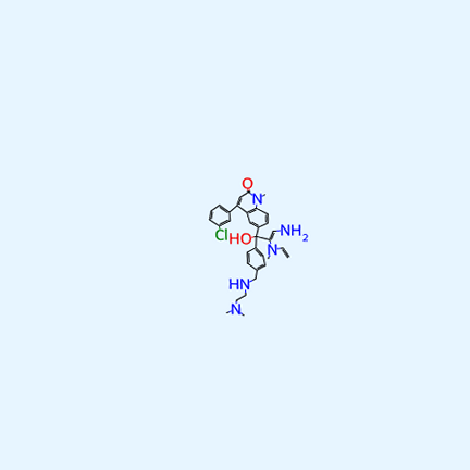 C=CN(C)/C(=C\N)C(O)(c1ccc(CNCCN(C)C)cc1)c1ccc2c(c1)c(-c1cccc(Cl)c1)cc(=O)n2C